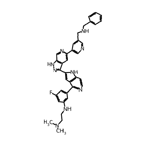 CN(C)CCNc1cc(F)cc(-c2nccc3[nH]c(-c4n[nH]c5cnc(-c6cncc(CNCc7ccccc7)c6)cc45)cc23)c1